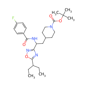 CCC(CC)c1nc(C(CC2CCN(C(=O)OC(C)(C)C)CC2)NC(=O)c2ccc(F)cc2)no1